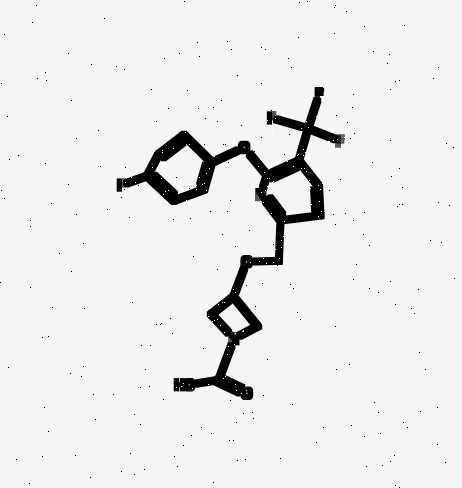 O=C(O)N1CC(OCc2ccc(C(F)(F)F)c(Oc3ccc(F)cc3)n2)C1